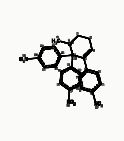 C[O+]1CCC=C(c2ccc([N+](=O)[O-])cc2)[B-]1(c1ccc([N+](=O)[O-])cc1)c1ccc([N+](=O)[O-])cc1